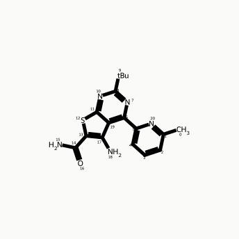 Cc1cccc(-c2nc(C(C)(C)C)nc3sc(C(N)=O)c(N)c23)n1